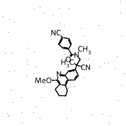 COc1nc2cc(C(C)(C#N)CN(C)C(=O)c3ccc(C#N)cc3)ccc2c2c1CCCC2